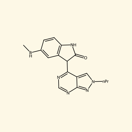 CBc1ccc2c(c1)C(c1ncnc3nn(CCC)cc13)C(=O)N2